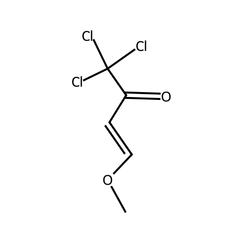 COC=CC(=O)C(Cl)(Cl)Cl